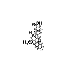 COc1ccc(C(N)/C(=C\c2ccc(C(=O)O)cc2)CCOc2cccc3ccccc23)cc1